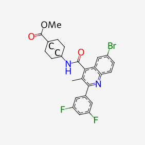 COC(=O)C12CCC(NC(=O)c3c(C)c(-c4cc(F)cc(F)c4)nc4ccc(Br)cc34)(CC1)CC2